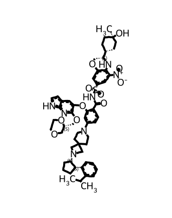 CC(C)c1ccccc1[C@@H]1CCC[C@@H]1N1CC2(CCN(c3ccc(C(=O)NS(=O)(=O)c4cc5c(c([N+](=O)[O-])c4)N[C@@H]([C@H]4CC[C@](C)(O)CC4)CO5)c(Oc4cc5cc[nH]c5nc4OC[C@@H]4COCCO4)c3)CC2)C1